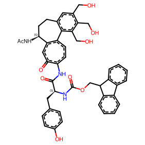 CC(=O)N[C@H]1CCc2cc(CO)c(CO)c(CO)c2-c2ccc(NC(=O)[C@H](Cc3ccc(O)cc3)NC(=O)OCC3c4ccccc4-c4ccccc43)c(=O)cc21